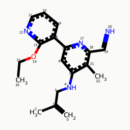 C=C(C)CNc1cc(-c2cccnc2OCC)nc(C=N)c1C